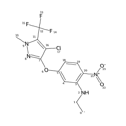 [CH2]CNc1cc(Oc2nn(C)c(C(F)(F)F)c2Cl)ccc1[N+](=O)[O-]